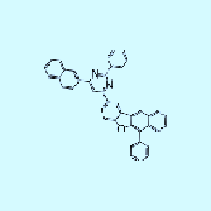 c1ccc(-c2nc(-c3ccc4ccccc4c3)cc(-c3ccc4oc5c(-c6ccccc6)c6ccccc6cc5c4c3)n2)cc1